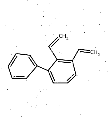 C=Cc1[c]ccc(-c2ccccc2)c1C=C